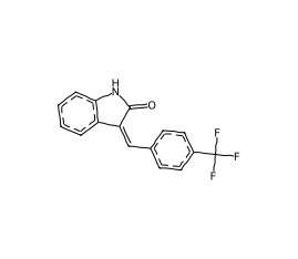 O=C1Nc2ccccc2C1=Cc1ccc(C(F)(F)F)cc1